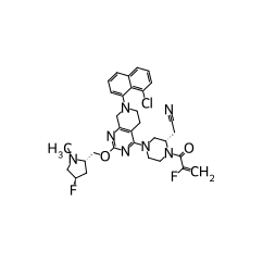 C=C(F)C(=O)N1CCN(c2nc(OC[C@@H]3C[C@@H](F)CN3C)nc3c2CCN(c2cccc4cccc(Cl)c24)C3)C[C@@H]1CC#N